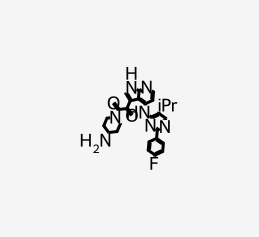 CC(C)c1cnc(-c2ccc(F)cc2)nc1Nc1ccnc2[nH]cc(C(=O)C(=O)N3CCC(N)CC3)c12